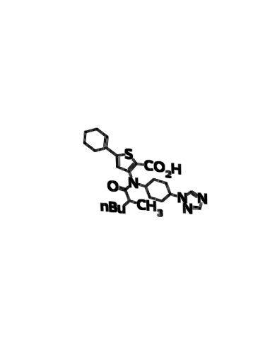 CCCCC(C)C(=O)N(c1cc(C2=CCCCC2)sc1C(=O)O)C1CCC(n2cncn2)CC1